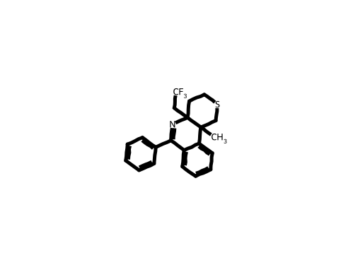 CC12CSCCC1(CC(F)(F)F)N=C(c1ccccc1)c1ccccc12